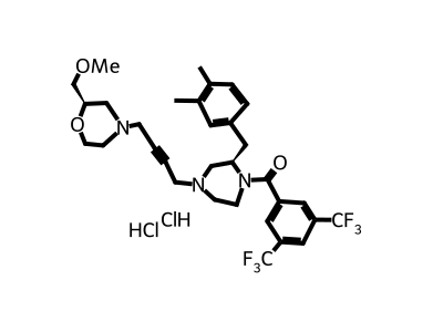 COC[C@H]1CN(CC#CCN2CCN(C(=O)c3cc(C(F)(F)F)cc(C(F)(F)F)c3)[C@H](Cc3ccc(C)c(C)c3)C2)CCO1.Cl.Cl